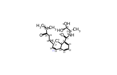 CC1C(C(=O)N[C@@H](C)C(O)O)=CC=CC1/C=C\CCCC(=O)N(C)C